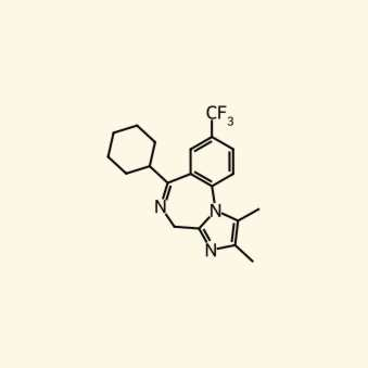 Cc1nc2n(c1C)-c1ccc(C(F)(F)F)cc1C(C1CCCCC1)=NC2